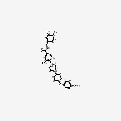 COc1ccc(CN2CCC(N3CCN(c4ncc(C(=O)NCc5ccc(F)c(F)c5)cc4Cl)CC3)CC2)cc1